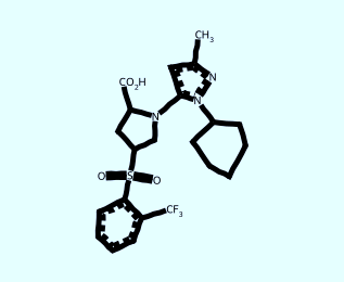 Cc1cc(N2CC(S(=O)(=O)c3ccccc3C(F)(F)F)CC2C(=O)O)n(C2CCCCC2)n1